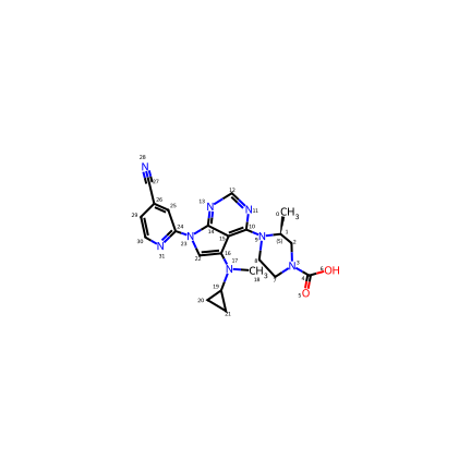 C[C@H]1CN(C(=O)O)CCN1c1ncnc2c1c(N(C)C1CC1)cn2-c1cc(C#N)ccn1